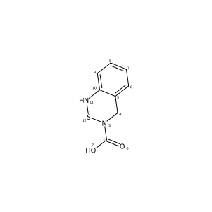 O=C(O)N1Cc2ccccc2NS1